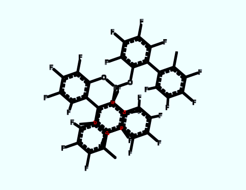 Cc1c(F)c(F)c(F)c(F)c1-c1c(F)c(F)c(F)c(F)c1OB(Oc1c(F)c(F)c(F)c(F)c1-c1c(C)c(F)c(F)c(F)c1F)Oc1c(F)c(F)c(F)c(F)c1-c1c(C)c(F)c(F)c(F)c1F